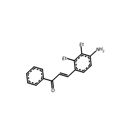 CCc1c(N)ccc(C=CC(=O)c2ccccc2)c1CC